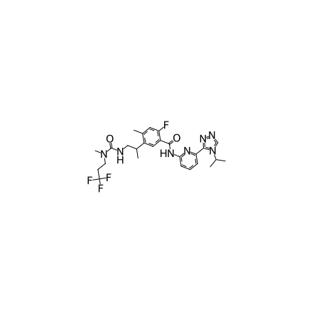 Cc1cc(F)c(C(=O)Nc2cccc(-c3nncn3C(C)C)n2)cc1C(C)CNC(=O)N(C)CCC(F)(F)F